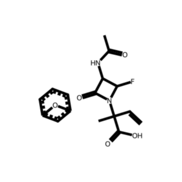 C=CC(C)(C(=O)O)N1C(=O)C(NC(C)=O)C1F.c1cc2cc(c1)O2